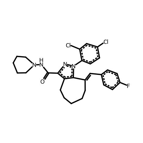 O=C(NN1CCCCC1)c1nn(-c2ccc(Cl)cc2Cl)c2c1CCCCCC2=Cc1ccc(F)cc1